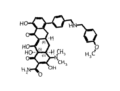 COc1ccc(CNCc2ccc(-c3ccc(O)c4c3C[C@H]3C[C@H]5C(N(C)C)C(O)=C(C(N)=O)C(=O)[C@@]5(O)C(O)=C3C4=O)cc2)cc1